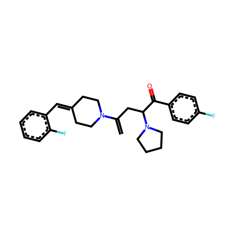 C=C(CC(C(=O)c1ccc(F)cc1)N1CCCC1)N1CCC(=Cc2ccccc2F)CC1